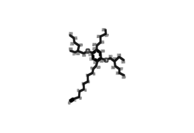 C#CCCCCCCCCCc1cc(OCC(CC)CCCC)c(CCCCC)cc1OCC(CC)CCCC